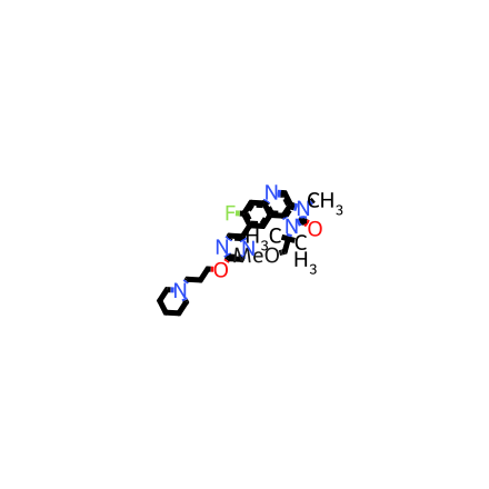 COCC(C)(C)n1c(=O)n(C)c2cnc3cc(F)c(-c4cnc(OCCCN5CCCCC5)cn4)cc3c21